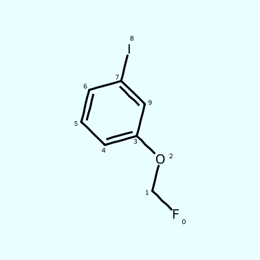 FCOc1cccc(I)c1